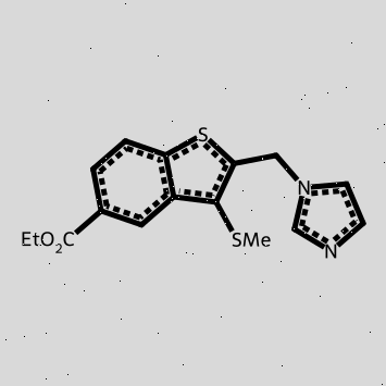 CCOC(=O)c1ccc2sc(Cn3ccnc3)c(SC)c2c1